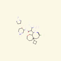 CCN1CCC(O[C@H]2CCN(C)C2)C(NC(=O)C(C(N)N)C2N=C=C(Cl)CCC3(C4CCC4)CCCCCC23)C1